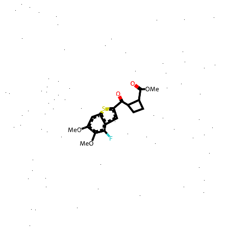 COC(=O)C1CCC1C(=O)c1cc2c(F)c(OC)c(OC)cc2s1